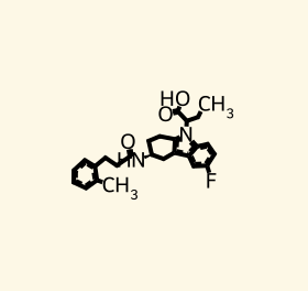 CCC(C(=O)O)n1c2c(c3cc(F)ccc31)C[C@@H](NC(=O)CCc1ccccc1C)CC2